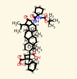 CC(C)C1=C2[C@H]3CC[C@@H]4[C@]5(C)CC[C@H]([C@@]6(C(=O)O)C[C@@](Cc7ccccc7)(C(=O)O)C6(C)C)C(C)(C)[C@H]5CC[C@@]4(C)[C@]3(C)CC[C@@]2(NC(=O)C2(NC(=O)OC(C)(C)C)CCCCC2)CC1=O